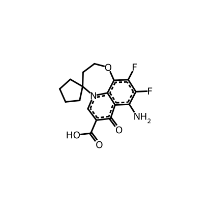 Nc1c(F)c(F)c2c3c1c(=O)c(C(=O)O)cn3C1(CCCC1)CCO2